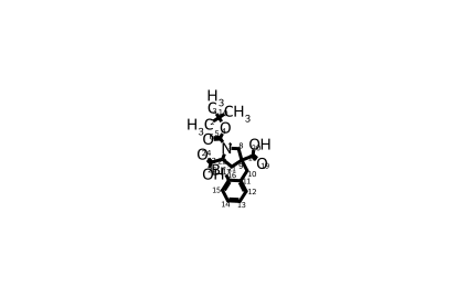 CC(C)(C)OC(=O)N1CC(Cc2ccccc2Br)(C(=O)O)CC1C(=O)O